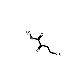 CCCC(=O)C(=O)NC